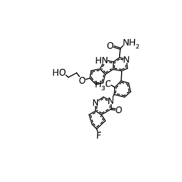 Cc1c(-c2cnc(C(N)=O)c3[nH]c4cc(OCCO)ccc4c23)cccc1-n1cnc2ccc(F)cc2c1=O